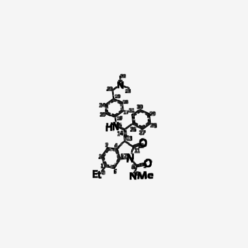 CCc1ccc2c(c1)N(C(=O)NC)C(=O)C2=C(Nc1ccc(CN(C)C)cc1)c1ccccc1